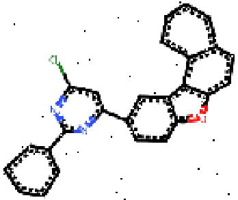 Clc1cc(-c2ccc3oc4ccc5ccccc5c4c3c2)nc(-c2ccccc2)n1